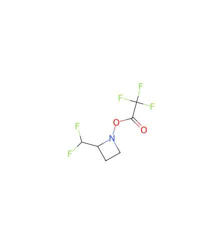 O=C(ON1CCC1C(F)F)C(F)(F)F